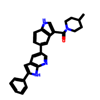 CC1CCN(C(=O)c2c[nH]c3ccc(-c4cnc5[nH]c(-c6ccccc6)cc5c4)cc23)CC1